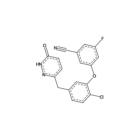 N#Cc1cc(F)cc(Oc2cc(Cc3ccc(=O)[nH]n3)ccc2Cl)c1